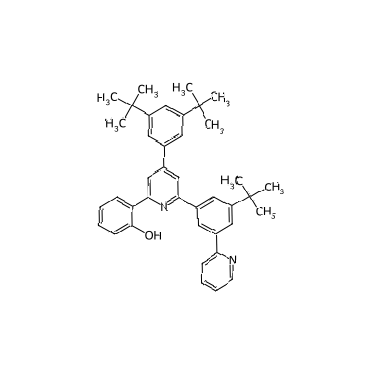 CC(C)(C)c1cc(-c2ccccn2)cc(-c2cc(-c3cc(C(C)(C)C)cc(C(C)(C)C)c3)cc(-c3ccccc3O)n2)c1